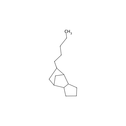 CCCCC[C]1CC2CC1C1CCCC21